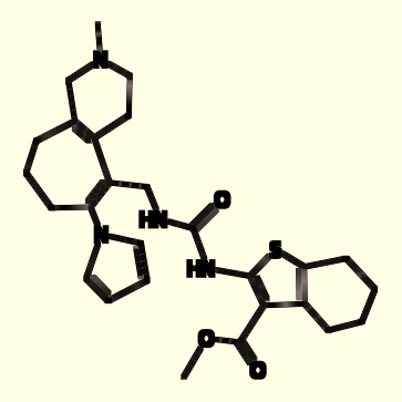 COC(=O)c1c(NC(=O)NCC2=C(n3cccc3)CCCC3=C2CCN(C)C3)sc2c1CCCC2